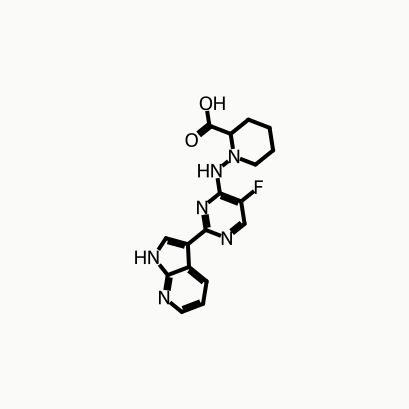 O=C(O)C1CCCCN1Nc1nc(-c2c[nH]c3ncccc23)ncc1F